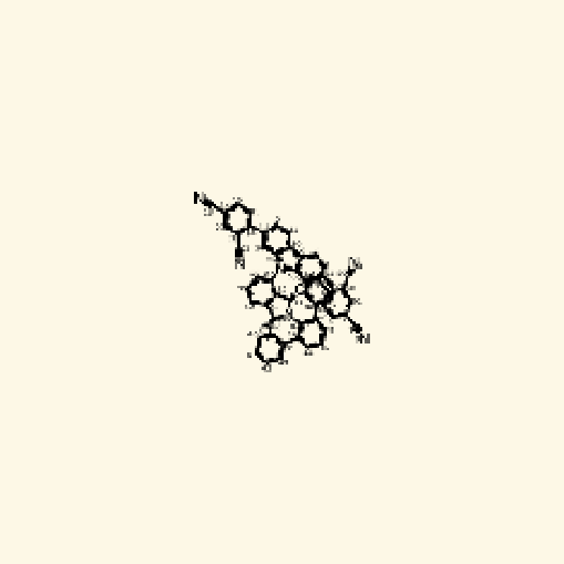 N#Cc1ccc(-c2ccc3c4ccc(-c5ccc(C#N)cc5C#N)cc4n(-c4cccc5c4C(=O)N(c4c(-c6ccccc6)cccc4-c4ccccc4)C5=O)c3c2)c(C#N)c1